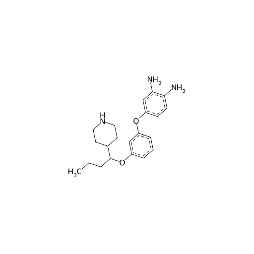 CCCC(Oc1cccc(Oc2ccc(N)c(N)c2)c1)C1CCNCC1